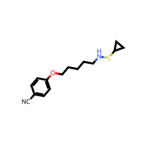 N#Cc1ccc(OCCCCCNSC2CC2)cc1